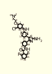 CN(C)CCOc1ccc(Nc2nccc(-c3sc(N)nc3-c3cccc(NC(=O)c4c(F)cccc4F)c3)n2)cc1Cl